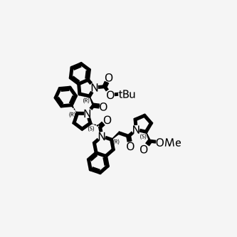 COC(=O)[C@@H]1CCCN1C(=O)C[C@H]1Cc2ccccc2CN1C(=O)[C@@H]1CC[C@H](c2ccccc2)N1C(=O)[C@H]1Cc2ccccc2N1C(=O)OC(C)(C)C